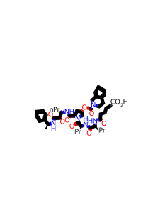 CCCC(NC(=O)C1CC(OC(=O)N2CCc3ccccc3C2)CN1C(=O)[C@@H](NC(=O)[C@@H](NC(=O)CCCCC(=O)O)C(C)C)C(C)C)C(=O)C(=O)N[C@@H](C)c1ccccc1